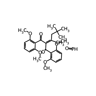 COc1cccc(OC)c1C(=O)C(C(=O)c1c(OC)cccc1OC)=C(C)CC(C)(C)C.O=P